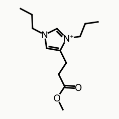 CCCn1cc(CCC(=O)OC)[n+](CCC)c1